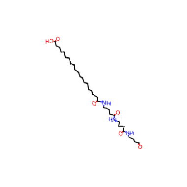 O=CCCCNC(=O)CCCNC(=O)CCCNC(=O)CCCCCCCCCCCCCCCCCCC(=O)O